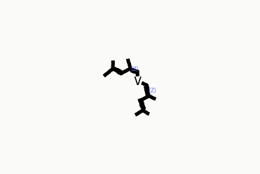 CC(C)=C/C(C)=[CH]\[V]/[CH]=C(/C)C=C(C)C